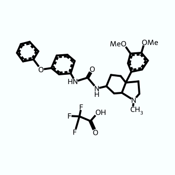 COc1ccc(C23CCC(NC(=O)Nc4cccc(Oc5ccccc5)c4)CC2N(C)CC3)cc1OC.O=C(O)C(F)(F)F